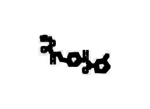 Cc1cccc(C(=O)Nc2ccc(CCNC(=O)OC(C)(C)C)cc2)c1